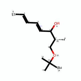 CCC=C/C=C/C(O)[C@H](C)COC(C)(C)C(C)CC